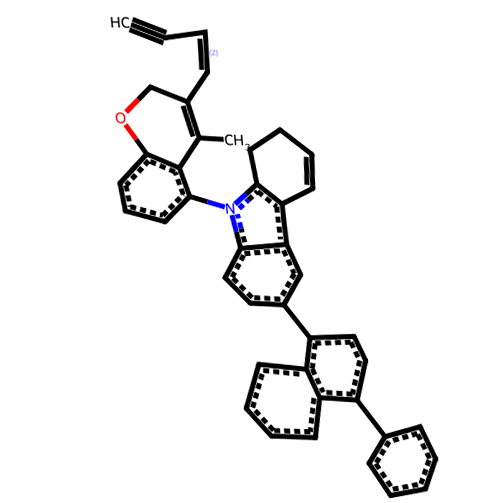 C#C/C=C\C1=C(C)c2c(cccc2-n2c3c(c4cc(-c5ccc(-c6ccccc6)c6ccccc56)ccc42)C=CCC3)OC1